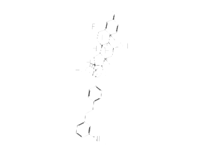 C[C@]12C=CC(=O)C=C1[C@@H](F)C[C@H]1[C@@H]3C[C@H]4O[C@@H](c5ccc(CCc6cccc(N)c6)cc5)O[C@@]4(C(=O)CO)[C@@]3(C)C[C@H](O)[C@@]12F